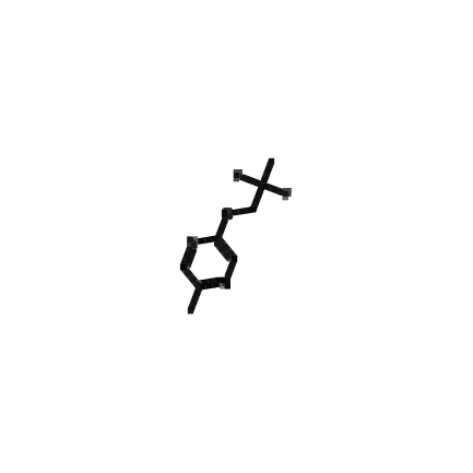 Cc1cnc(OCC(C)(F)F)cn1